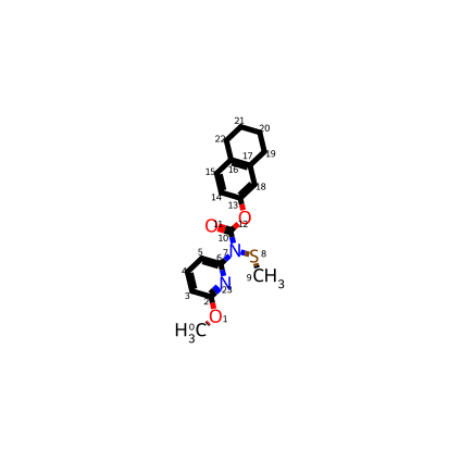 COc1cccc(N(SC)C(=O)Oc2ccc3c(c2)CCCC3)n1